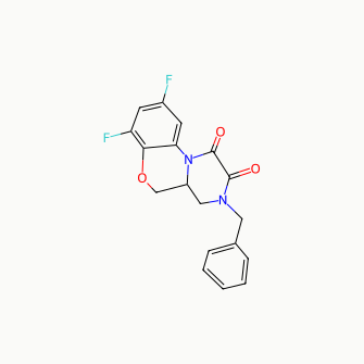 O=C1C(=O)N2c3cc(F)cc(F)c3OCC2CN1Cc1ccccc1